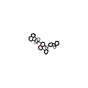 c1ccc(-c2ccccc2N(c2ccc(-c3nc4c(o3)-c3cccc5cccc-4c35)cc2)c2ccc3c(c2)oc2ccccc23)cc1